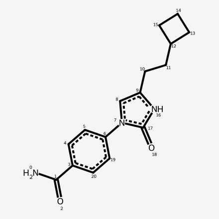 NC(=O)c1ccc(-n2cc(CCC3CCC3)[nH]c2=O)cc1